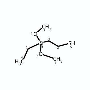 CC[Si](CCS)(OC)OC